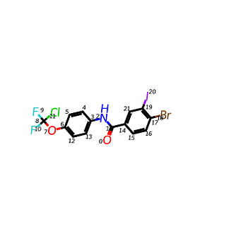 O=C(Nc1ccc(OC(F)(F)Cl)cc1)c1ccc(Br)c(I)c1